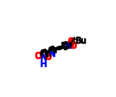 CC(C)(C)OC(=O)N1CCC(C#Cc2ccc(C3CCC(=O)NC3=O)nc2)CC1